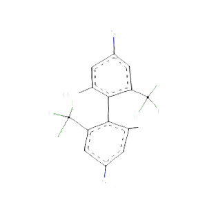 Cc1cc(N)cc(C(F)(F)F)c1-c1c(C)cc(N)cc1C(F)(F)F